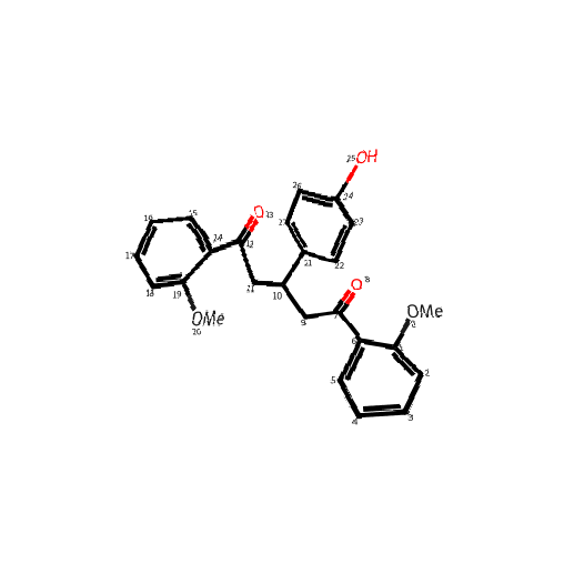 COc1ccccc1C(=O)CC(CC(=O)c1ccccc1OC)c1ccc(O)cc1